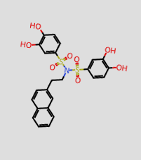 O=S(=O)(c1ccc(O)c(O)c1)N(CCc1ccc2ccccc2c1)S(=O)(=O)c1ccc(O)c(O)c1